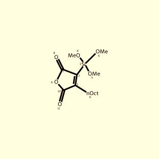 CCCCCCCCC1=C([Si](OC)(OC)OC)C(=O)OC1=O